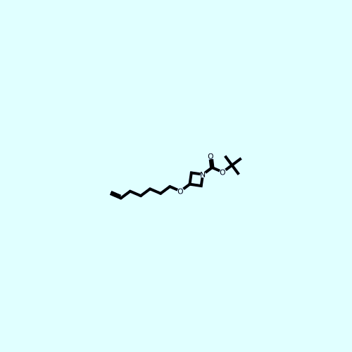 C=CCCCCCOC1CN(C(=O)OC(C)(C)C)C1